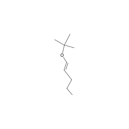 CCCC=COC(C)(C)C